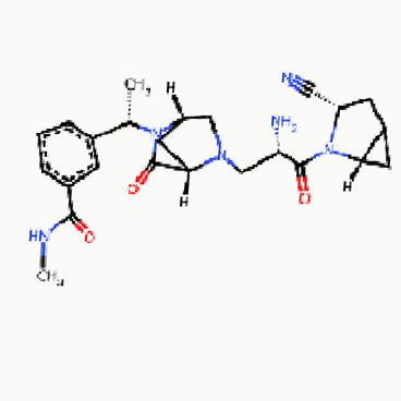 CNC(=O)c1cccc([C@H](C)N2C(=O)[C@@H]3C[C@H]2CN3C[C@H](N)C(=O)N2[C@H](C#N)CC3C[C@@H]32)c1